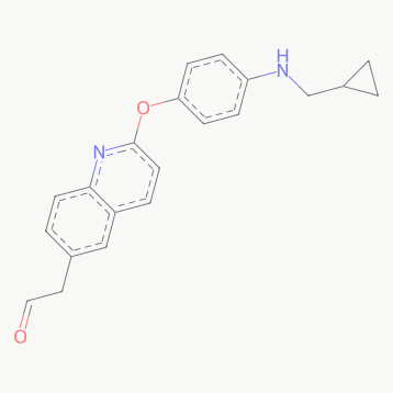 O=CCc1ccc2nc(Oc3ccc(NCC4CC4)cc3)ccc2c1